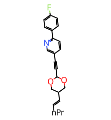 CCC/C=C/C1COC(C#Cc2ccc(-c3ccc(F)cc3)nc2)OC1